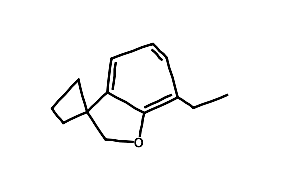 CCc1cccc2c1OCC21CCC1